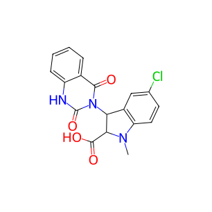 CN1c2ccc(Cl)cc2C(n2c(=O)[nH]c3ccccc3c2=O)C1C(=O)O